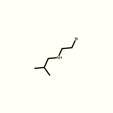 CC(C)CNCCBr